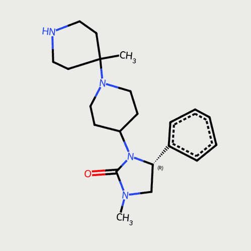 CN1C[C@@H](c2ccccc2)N(C2CCN(C3(C)CCNCC3)CC2)C1=O